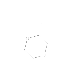 C[C@@H]1OCCN[C@@H]1C